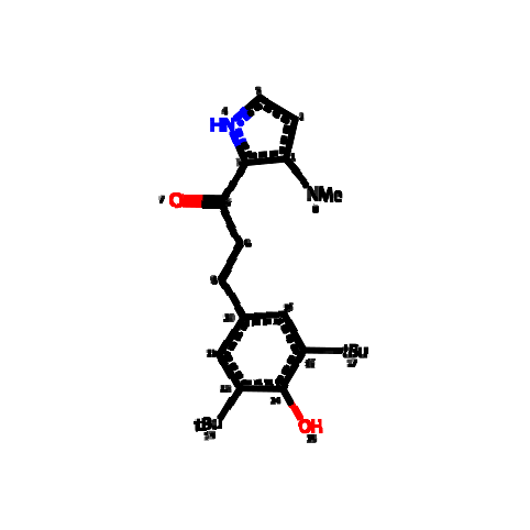 CNc1cc[nH]c1C(=O)CCc1cc(C(C)(C)C)c(O)c(C(C)(C)C)c1